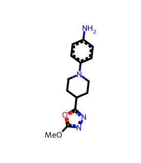 COc1nnc(C2CCN(c3ccc(N)cc3)CC2)o1